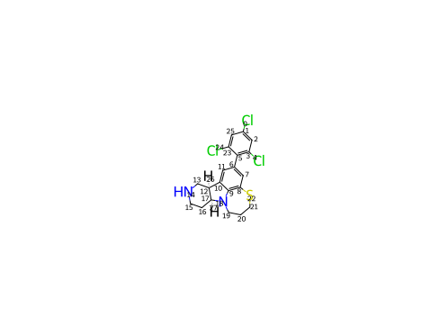 Clc1cc(Cl)c(-c2cc3c4c(c2)[C@@H]2CNCC[C@@H]2N4CCCS3)c(Cl)c1